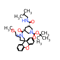 COCCCCC1(CNC(=O)[C@H]2C[C@H](C(=O)NCC(C)C)CN(C(=O)OC(C)(C)C)C2)c2ccccc2Oc2ccccc21